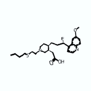 CCCCSCCN1CC[C@@H](CC[C@H](F)c2ccnc3ccc(OC)cc23)[C@@H](CC(=O)O)C1